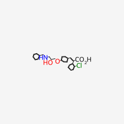 O=C(O)C(=Cc1ccc(OCC(O)CNCc2ccccc2)cc1)c1ccccc1Cl